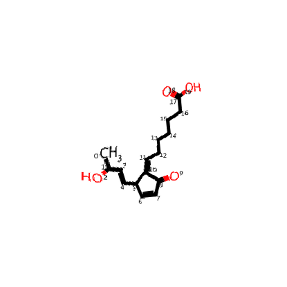 CC(O)C=CC1C=CC(=O)C1=CCCCCCC(=O)O